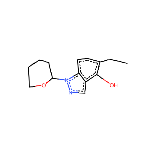 CCc1ccc2c(cnn2C2CCCCO2)c1O